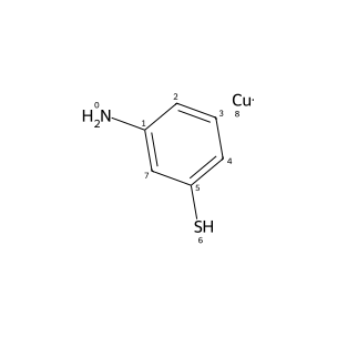 Nc1cccc(S)c1.[Cu]